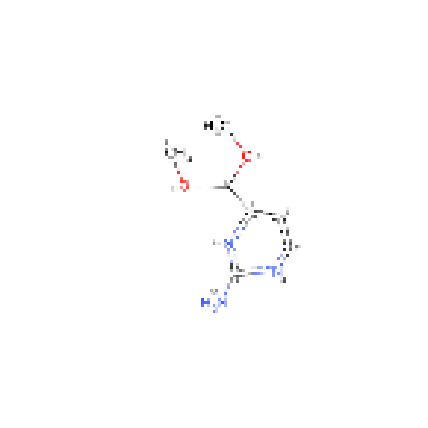 COC(OC)c1ccnc(N)n1